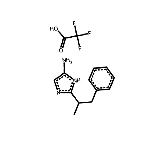 CC(Cc1ccccc1)c1ncc(N)[nH]1.O=C(O)C(F)(F)F